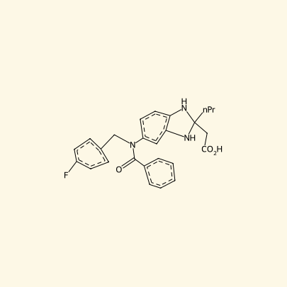 CCCC1(CC(=O)O)Nc2ccc(N(Cc3ccc(F)cc3)C(=O)c3ccccc3)cc2N1